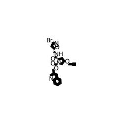 C#CCO[C@@H]1C[C@@H](C(=O)NC[C@@H]2CC(Br)=NO2)N(C(=O)OCc2cnc3ccccc3c2)C1